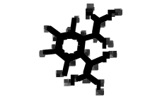 Cc1c(C)c(C)c(C(F)=C(F)F)c(C(F)=C(F)F)c1C